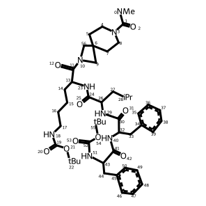 CNC(=O)N1CCC2(CC1)CN(C(=O)C(CCCCNC(=O)OC(C)(C)C)NC(=O)C(CC(C)C)NC(=O)C(Cc1ccccc1)NC(=O)C(Cc1ccccc1)NC(=O)OC(C)(C)C)C2